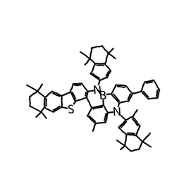 Cc1cc2c3c(c1)N(c1cc4c(cc1C)C(C)(C)CCC4(C)C)c1cc(-c4ccccc4)ccc1B3N(c1ccc3c(c1)C(C)(C)CCC3(C)C)c1ccc3c(sc4cc5c(cc43)C(C)(C)CCC5(C)C)c1-2